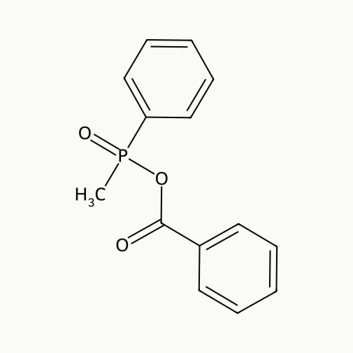 CP(=O)(OC(=O)c1ccccc1)c1ccccc1